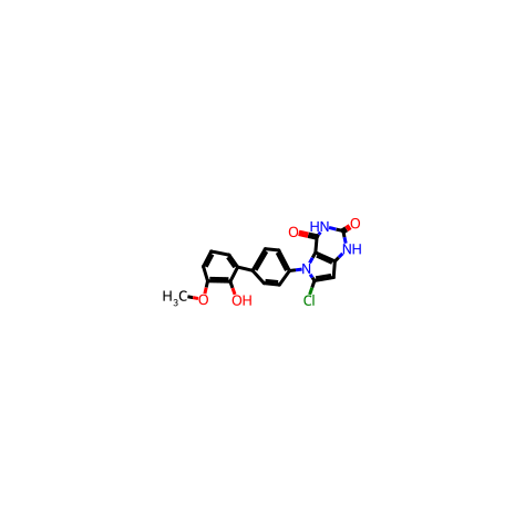 COc1cccc(-c2ccc(-n3c(Cl)cc4[nH]c(=O)[nH]c(=O)c43)cc2)c1O